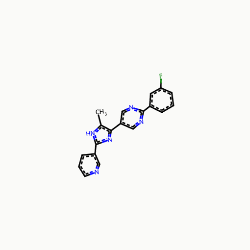 Cc1[nH]c(-c2cccnc2)nc1-c1cnc(-c2cccc(F)c2)nc1